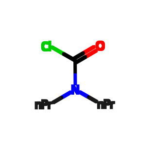 CCCN(CCC)C(=O)Cl